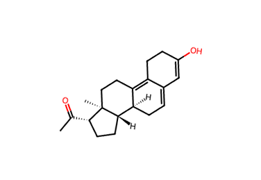 CC(=O)[C@H]1CC[C@H]2[C@@H]3CC=C4C=C(O)CCC4=C3CC[C@]12C